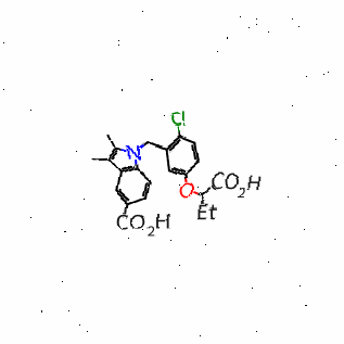 CC[C@@H](Oc1ccc(Cl)c(Cn2c(C)c(C)c3cc(C(=O)O)ccc32)c1)C(=O)O